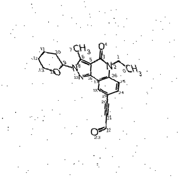 CCn1c(=O)c2c(C)n(C3CCCCO3)nc2c2cc(C#CC=O)ccc21